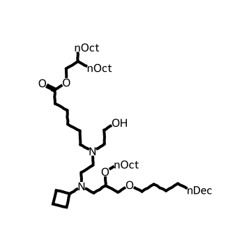 CCCCCCCCCCCCCCOCC(CN(CCN(CCO)CCCCCC(=O)OCC(CCCCCCCC)CCCCCCCC)C1CCC1)OCCCCCCCC